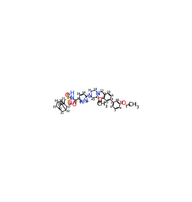 CCOc1cccc(-c2ccc(CN3CCN(c4ccc(C(=O)NS(=O)(=O)CC56CC7CC(CC(C7)C5)C6)nn4)CC3)c(OC)c2)c1